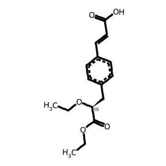 CCOC(=O)[C@H](Cc1ccc(C=CC(=O)O)cc1)OCC